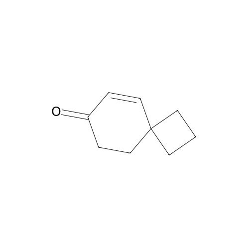 O=C1C=CC2(CCC2)CC1